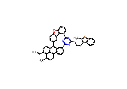 C=Cc1ccc2c(-c3ccc4oc5cccc(-c6nc(C/C=C\c7c(C)sc8ccccc78)nc(-c7ccccc7)n6)c5c4c3)ccc3c2c1C(C)=CC3